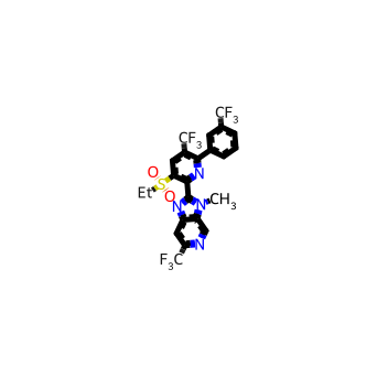 CCS(=O)(=O)c1cc(C(F)(F)F)c(-c2cccc(C(F)(F)F)c2)nc1-c1nc2cc(C(F)(F)F)ncc2n1C